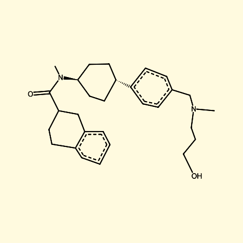 CN(CCCO)Cc1ccc([C@H]2CC[C@H](N(C)C(=O)C3CCc4ccccc4C3)CC2)cc1